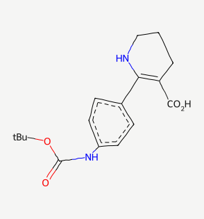 CC(C)(C)OC(=O)Nc1ccc(C2=C(C(=O)O)CCCN2)cc1